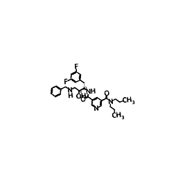 CCCN(CCC)C(=O)c1cncc(C(=O)N[C@@H](Cc2cc(F)cc(F)c2)[C@H](O)CNCc2ccccc2)c1